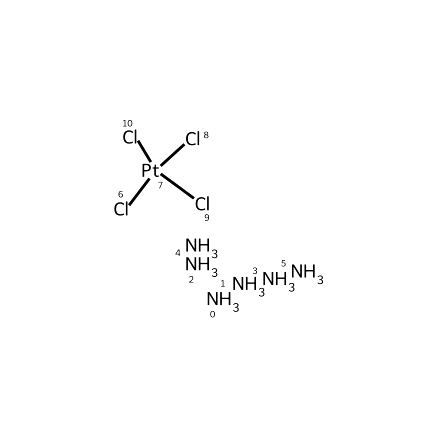 N.N.N.N.N.N.[Cl][Pt]([Cl])([Cl])[Cl]